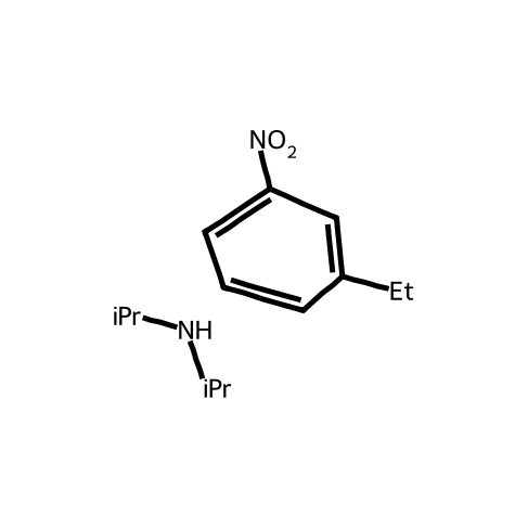 CC(C)NC(C)C.CCc1cccc([N+](=O)[O-])c1